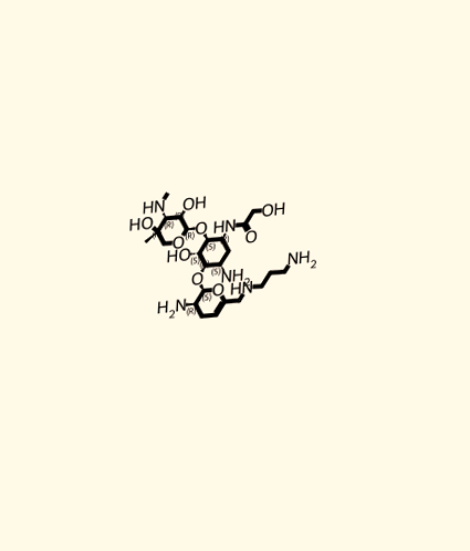 CN[C@@H]1[C@@H](O)[C@@H](O[C@@H]2[C@@H](O)[C@H](O[C@H]3OC(CNCCCN)=CC[C@H]3N)[C@@H](N)C[C@H]2NC(=O)CO)OC[C@]1(C)O